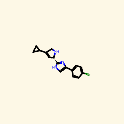 Brc1ccc(-c2c[nH]c([C@@H]3C=C(C4CC4)CN3)n2)cc1